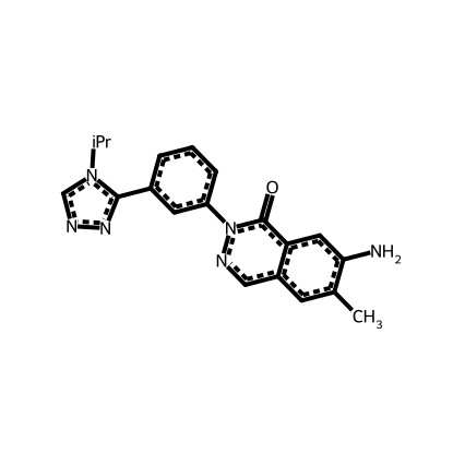 Cc1cc2cnn(-c3cccc(-c4nncn4C(C)C)c3)c(=O)c2cc1N